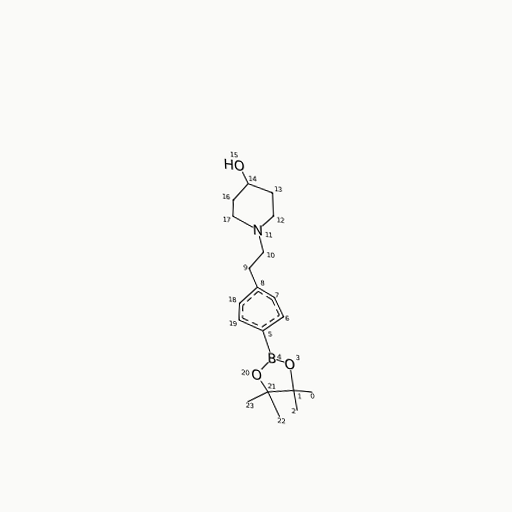 CC1(C)OB(c2ccc(CCN3CCC(O)CC3)cc2)OC1(C)C